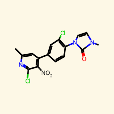 Cc1cc(-c2ccc(-n3ccn(C)c3=O)c(Cl)c2)c([N+](=O)[O-])c(Cl)n1